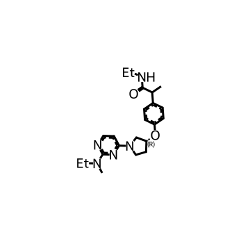 CCNC(=O)C(C)c1ccc(O[C@@H]2CCN(c3ccnc(N(C)CC)n3)C2)cc1